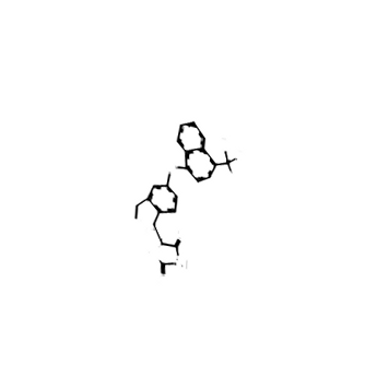 O=C1NC(=O)[C@H]([C@@H]2CCc3cc(Oc4ccc(C(F)(F)F)c5ccccc45)ccc32)O1